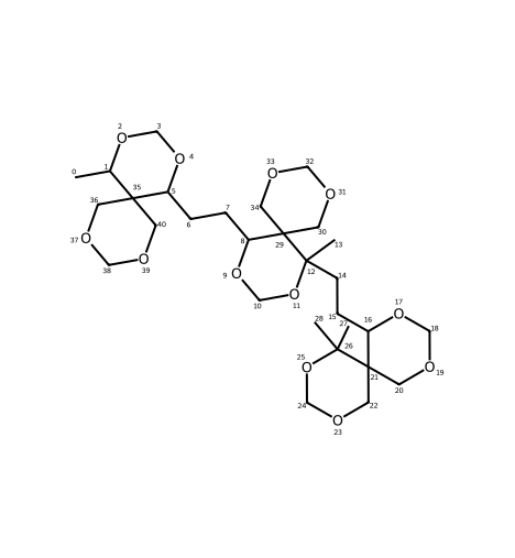 CC1OCOC(CCC2OCOC(C)(CCC3OCOCC34COCOC4(C)C)C23COCOC3)C12COCOC2